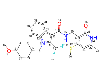 COC1CCC(Cn2c(C(F)F)c(C(=O)NCc3c(SC)cc(C)[nH]c3=O)c3ccccc32)CC1